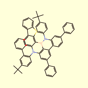 CC(C)(C)c1ccc(N2B3c4c(cc(-c5ccccc5)cc4N(c4ccc(C(C)(C)C)cc4-c4ccccc4)c4ccc5c(sc6ccccc65)c43)-c3ccc(-c4ccccc4)cc32)cc1